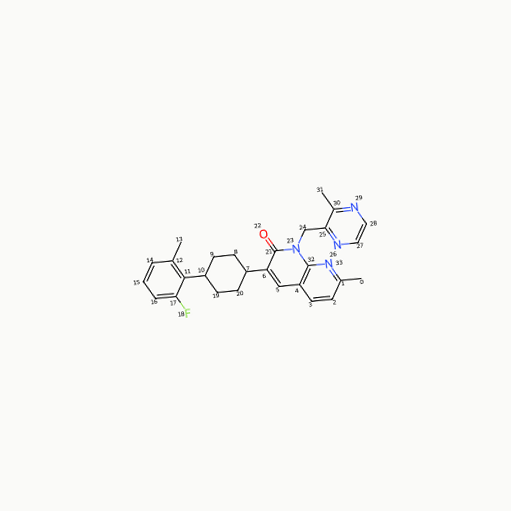 Cc1ccc2cc(C3CCC(c4c(C)cccc4F)CC3)c(=O)n(Cc3nccnc3C)c2n1